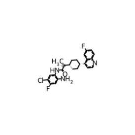 C[C@@H](C(=O)Nc1cc(Cl)c(F)cc1N)[C@H]1CC[C@@H](c2ccnc3ccc(F)cc32)CC1